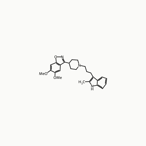 COc1cc2onc(C3CCN(CCCc4c(C)[nH]c5ccccc45)CC3)c2cc1OC